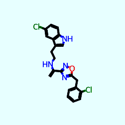 C=C(NCCc1c[nH]c2ccc(Cl)cc12)c1noc(Cc2ccccc2Cl)n1